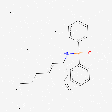 C=CC[C@H](/C=C/CCC)NP(=O)(c1ccccc1)c1ccccc1